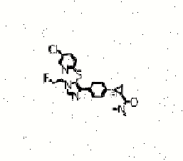 CN(C)C(=O)C1C[C@H]1c1ccc(-c2ncn(CCF)c2Sc2ccc(Cl)cn2)cc1